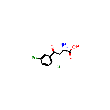 Cl.N[C@@H](CC(=O)c1cccc(Br)c1)C(=O)O